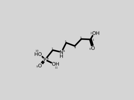 O=C(O)CCCNCP(=O)(O)O